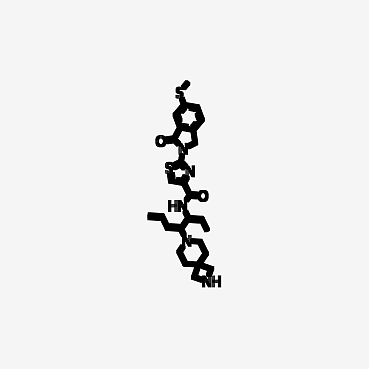 C=C/C=C(\C(=C/C)NC(=O)c1csc(N2Cc3ccc(SC)cc3C2=O)n1)N1CCC2(CC1)CNC2